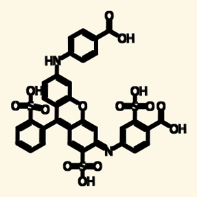 O=C(O)c1ccc(Nc2ccc3c(-c4ccccc4S(=O)(=O)O)c4cc(S(=O)(=O)O)/c(=N/c5ccc(C(=O)O)c(S(=O)(=O)O)c5)cc-4oc3c2)cc1